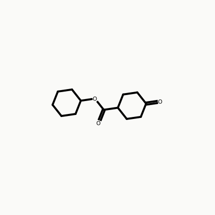 O=C1CCC(C(=O)OC2CCCCC2)CC1